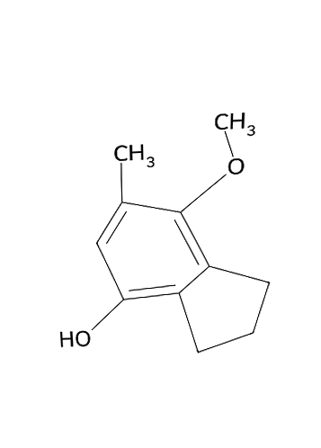 COc1c(C)cc(O)c2c1CCC2